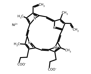 C=CC1=C(C)c2cc3[nH]c(cc4nc(cc5[nH]c(cc1n2)c(C)c5CCC(=O)[O-])C(CCC(=O)[O-])=C4C)c(C)c3C=C.[Ni+2]